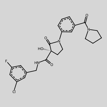 O=C(c1cccc(N2CC[C@@](O)(C(=O)NCc3cc(F)cc(Cl)c3)C2=O)c1)N1CCCC1